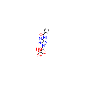 O=C(Nc1ncnc2c1ncn2C1COC2(CO)COC1C2O)c1ccccc1